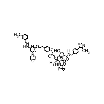 Cc1cccc(/C=N/Nc2cc(N3CCOCC3)nc(OCCc3ccc(NC(=O)CSC(C)(C)[C@H](NC(=O)C4(F)CC4)C(=O)N4C[C@H](O)C[C@H]4C(=O)NCc4ccc(-c5scnc5C)cc4)cc3)n2)c1